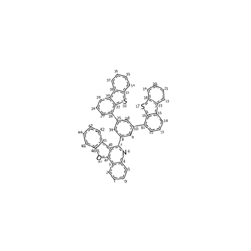 c1ccc2c(c1)nc(-c1cc(-c3cccc4c3sc3ccccc34)cc(-c3cccc4c3sc3ccccc34)c1)c1c3ccccc3oc21